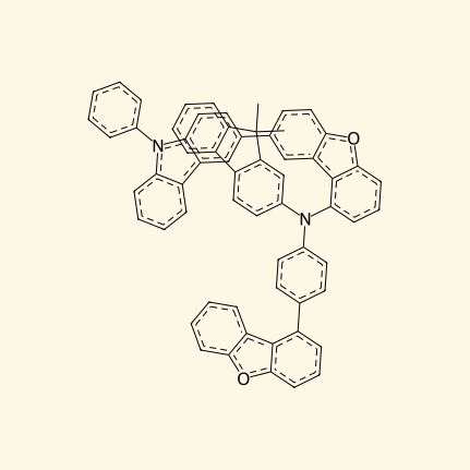 CC1(C)c2ccccc2-c2ccc(N(c3ccc(-c4cccc5oc6ccccc6c45)cc3)c3cccc4oc5ccc(-c6ccc7c(c6)c6ccccc6n7-c6ccccc6)cc5c34)cc21